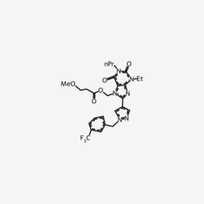 CCCn1c(=O)c2c(nc(-c3cnn(Cc4cccc(C(F)(F)F)c4)c3)n2COC(=O)CCOC)n(CC)c1=O